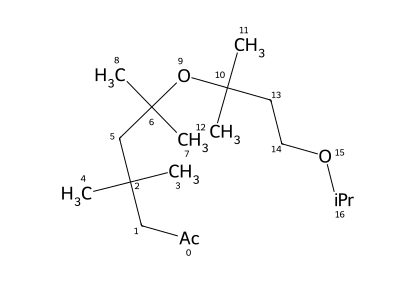 CC(=O)CC(C)(C)CC(C)(C)OC(C)(C)CCOC(C)C